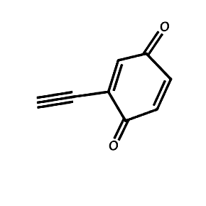 C#CC1=CC(=O)C=CC1=O